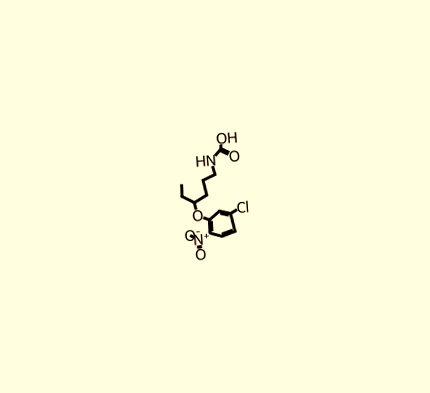 CCC(CCCNC(=O)O)Oc1cc(Cl)ccc1[N+](=O)[O-]